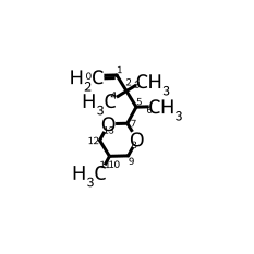 C=CC(C)(C)C(C)C1OCC(C)CO1